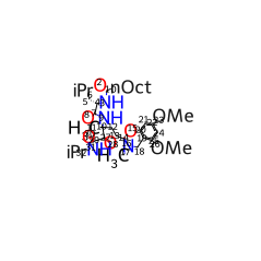 CCCCCCCCC(=O)N[C@@H](CC(C)C)C(=O)NC(C)(CCC(=O)N(C)Cc1ccc(OC)cc1OC)C(=O)C(=O)NC(C)C